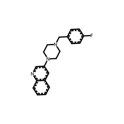 Fc1ccc(CN2CCN(c3[c]nc4ccccc4c3)CC2)cc1